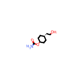 NC(=O)O[C@H]1CC[C@H](CCO)CC1